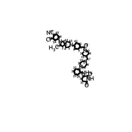 C[C@@H]1CC2(CCN(c3ccc(C(=O)N4CCC(CN5CCN(c6ccccc6N[C@H]6CCC(=O)NC6=O)CC5)CC4)cc3)CC2)CN1c1ccc(C#N)c(Cl)c1